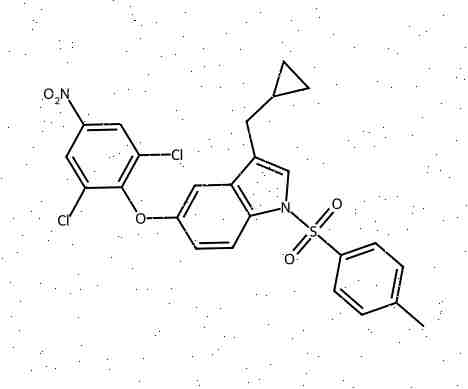 Cc1ccc(S(=O)(=O)n2cc(CC3CC3)c3cc(Oc4c(Cl)cc([N+](=O)[O-])cc4Cl)ccc32)cc1